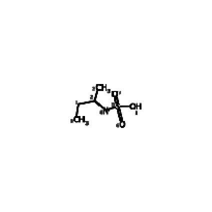 CCC(C)[N]S(=O)(=O)O